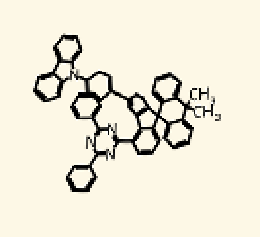 CC1(C)c2ccccc2C2(C3=C(C=C(C4=CCC(n5c6ccccc6c6ccccc65)C=C4)CC3)c3c(-c4nc(-c5ccccc5)nc(-c5ccccc5)n4)cccc32)c2ccccc21